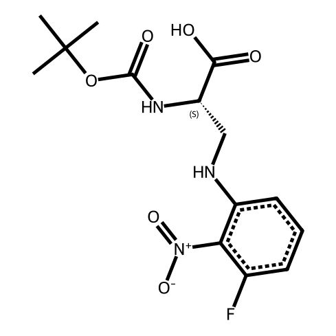 CC(C)(C)OC(=O)N[C@@H](CNc1cccc(F)c1[N+](=O)[O-])C(=O)O